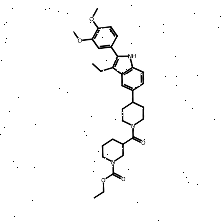 CCOC(=O)N1CCCC(C(=O)N2CCC(c3ccc4[nH]c(-c5ccc(OC)c(OC)c5)c(CC)c4c3)CC2)C1